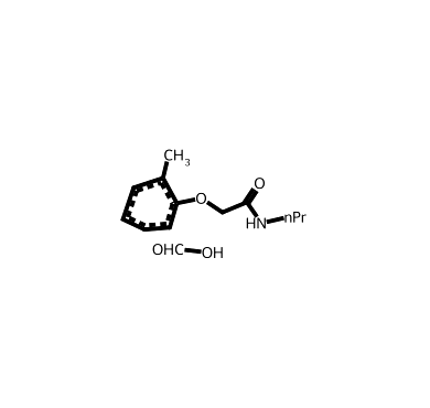 CCCNC(=O)COc1ccccc1C.O=CO